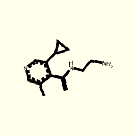 C=C(NCCN)c1c(C)cncc1C1CC1